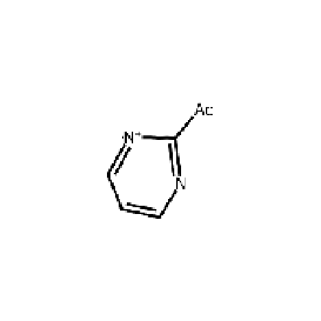 CC(=O)C1=NC=CC=[N+]1